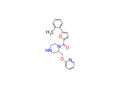 Cc1ccccc1-c1ccc(C(=O)N2CCNCC2COc2ccccn2)o1